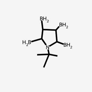 BC1C(B)C(B)N(C(C)(C)C)C1B